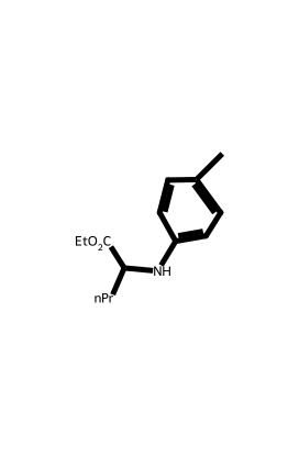 CCCC(Nc1ccc(C)cc1)C(=O)OCC